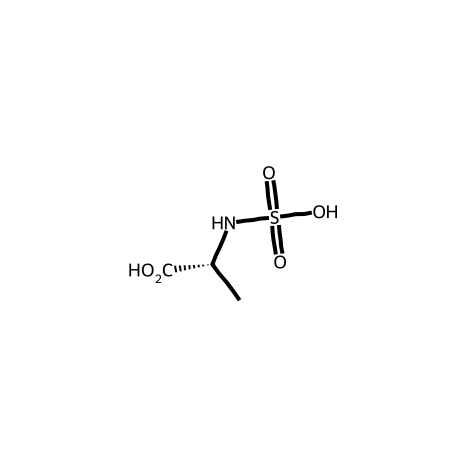 C[C@@H](NS(=O)(=O)O)C(=O)O